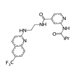 CC(C)C(=O)Nc1cc(C(=O)NCCNc2ccc3cc(C(F)(F)F)ccc3n2)ccn1